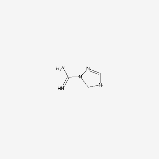 N=C(N)N1C[N]C=N1